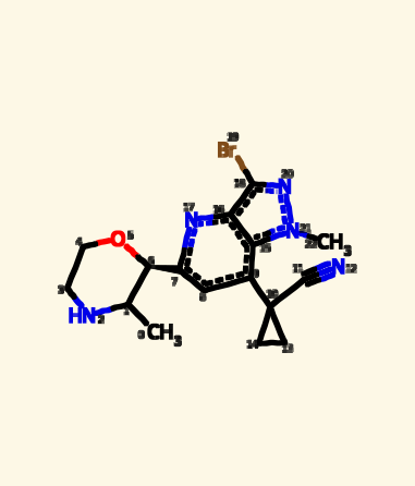 CC1NCCO[C@H]1c1cc(C2(C#N)CC2)c2c(n1)c(Br)nn2C